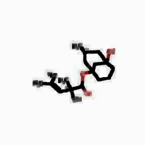 CC(C)=C[C@](C)(C(O)OC12CCCC(O)(C[C@H](C)C1)C2)C(C)(C)C